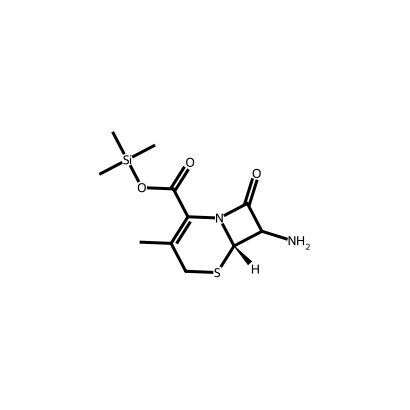 CC1=C(C(=O)O[Si](C)(C)C)N2C(=O)C(N)[C@@H]2SC1